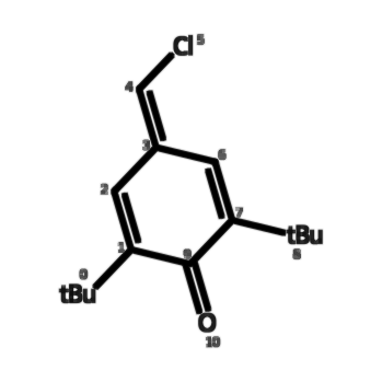 CC(C)(C)C1=CC(=CCl)C=C(C(C)(C)C)C1=O